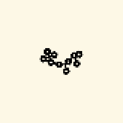 c1ccc(-c2c(-c3ccc(N(c4ccccc4)c4ccc(-c5ccc6c(c5)C(c5ccccc5)(c5ccccc5)c5ccccc5-6)cc4)cc3)ccc3ccccc23)cc1